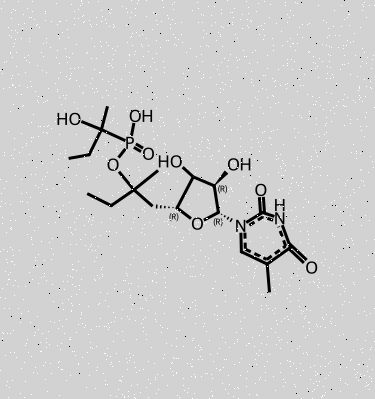 CCC(C)(C[C@H]1O[C@@H](n2cc(C)c(=O)[nH]c2=O)[C@H](O)C1O)OP(=O)(O)C(C)(O)CC